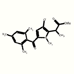 COC(=O)C(C)c1c(Cl)cc(C(=O)c2c(C)cc(C)cc2C)n1C